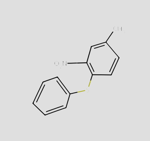 Cc1ccc(Sc2ccccc2)c([N+](=O)[O-])c1